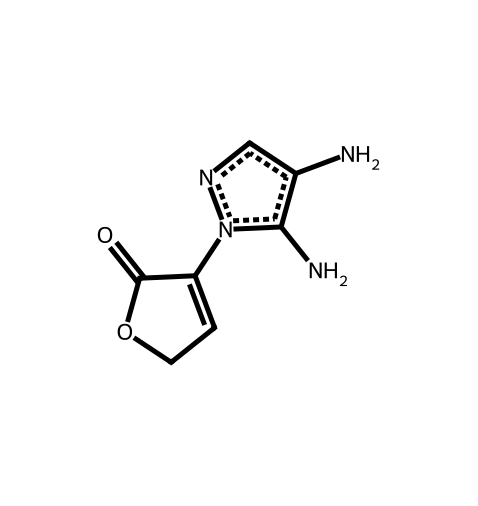 Nc1cnn(C2=CCOC2=O)c1N